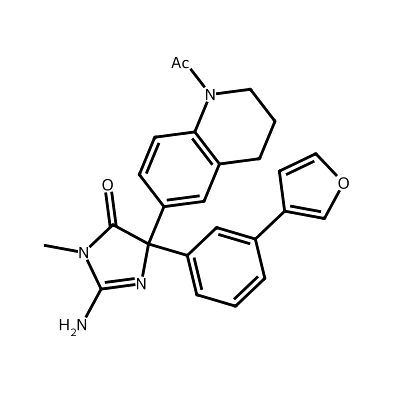 CC(=O)N1CCCc2cc(C3(c4cccc(-c5ccoc5)c4)N=C(N)N(C)C3=O)ccc21